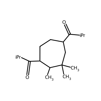 CC(C)C(=O)C1CCC(C(=O)C(C)C)C(C)C(C)(C)C1